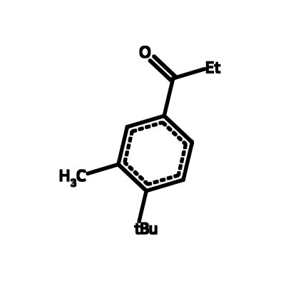 CCC(=O)c1ccc(C(C)(C)C)c(C)c1